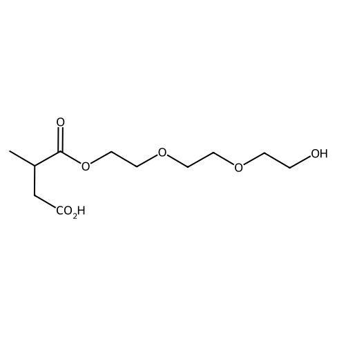 CC(CC(=O)O)C(=O)OCCOCCOCCO